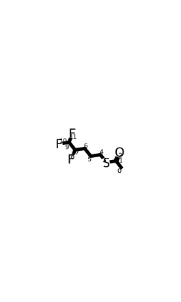 CC(=O)SCCCC(F)C(F)F